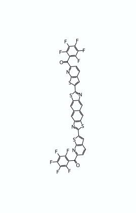 O=C(c1ccc2cc(-c3nc4cc5cc6sc(-c7cc8ccc(C(=O)c9c(F)c(F)c(F)c(F)c9F)nc8s7)nc6cc5cc4s3)sc2n1)c1c(F)c(F)c(F)c(F)c1F